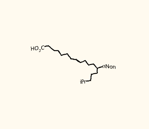 CCCCCCCCCC(CCCCCCCCCCCC(=O)O)CCCC(C)C